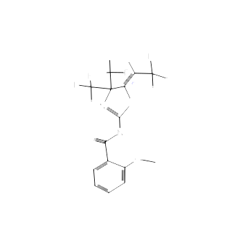 COc1ccccc1C(=O)NC1=NC(C(F)(F)F)(C(F)(F)F)/C(=C(\F)C(F)(F)F)S1